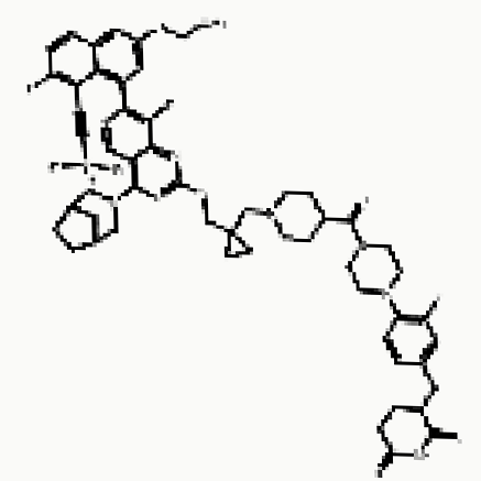 COCOc1cc(-c2ncc3c(N4CC5CCC(C5)C4)nc(OCC4(CN5CCC(C(=O)N6CCN(c7ccc(CC8CCC(=O)NC8=O)cc7F)CC6)CC5)CC4)nc3c2F)c2c(C#C[Si](C(C)C)(C(C)C)C(C)C)c(F)ccc2c1